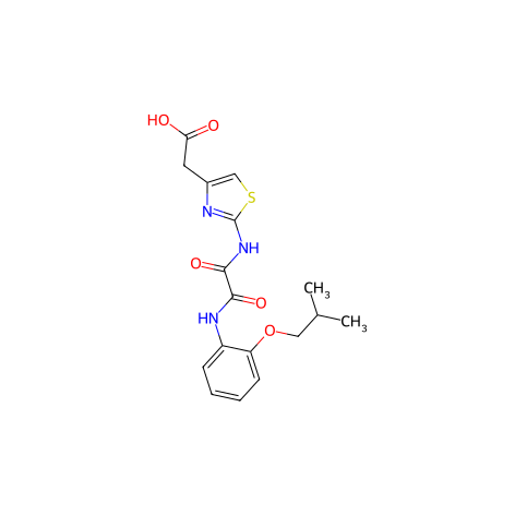 CC(C)COc1ccccc1NC(=O)C(=O)Nc1nc(CC(=O)O)cs1